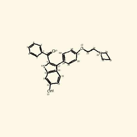 O=C(c1ccccc1)c1sc2cc(O)ccc2c1-c1ccc(OCCN2CCC2)cc1